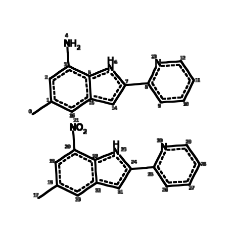 Cc1cc(N)c2[nH]c(-c3ccccn3)cc2c1.Cc1cc([N+](=O)[O-])c2[nH]c(-c3ccccn3)cc2c1